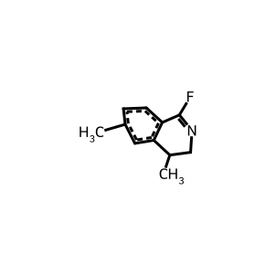 Cc1ccc2c(c1)C(C)CN=C2F